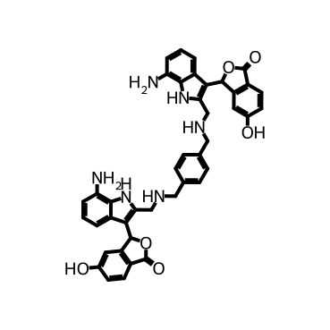 Nc1cccc2c(C3OC(=O)c4ccc(O)cc43)c(CNCc3ccc(CNCc4[nH]c5c(N)cccc5c4C4OC(=O)c5ccc(O)cc54)cc3)[nH]c12